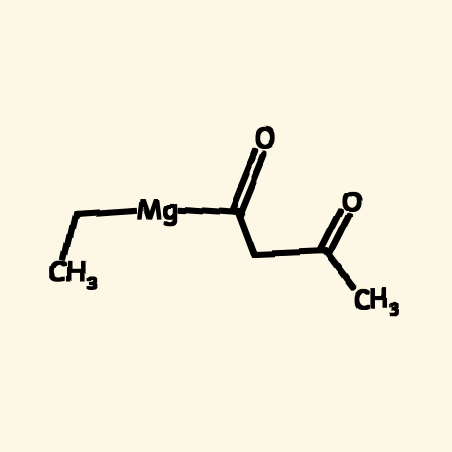 C[CH2][Mg][C](=O)CC(C)=O